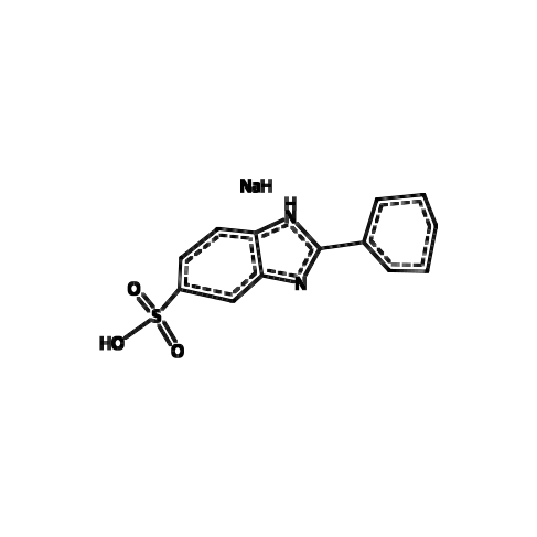 O=S(=O)(O)c1ccc2[nH]c(-c3ccccc3)nc2c1.[NaH]